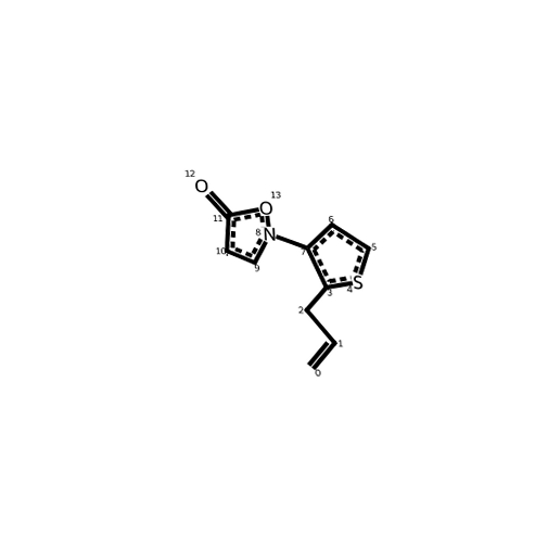 C=CCc1sccc1-n1c[c]c(=O)o1